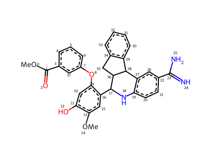 COC(=O)c1cccc(Oc2cc(O)c(OC)cc2C2Nc3ccc(C(=N)N)cc3C3c4ccccc4CC23)c1